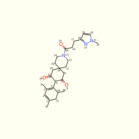 CC1=CC(C)=C(C2C(=O)CC3(CCN(C(=O)CCc4ccn(C)n4)CC3)CC2=O)C(C)C1